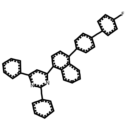 Fc1ccc(-c2ccc(-c3ccc(-c4cc(-c5ccccc5)nc(-c5ccccc5)n4)c4ccccc34)cc2)cc1